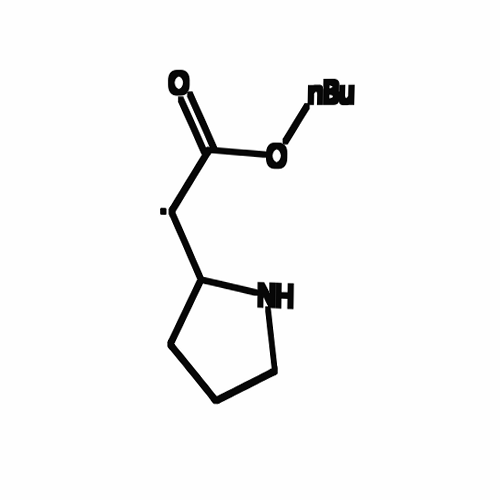 CCCCOC(=O)[CH]C1CCCN1